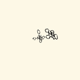 O=c1n(-c2ccccc2)c2cc(-c3ccc4c(c3)c3ccccc3n4-c3nc(-c4ccccc4)cc(-c4ccccc4)n3)ccc2c2cc3ccccc3n12